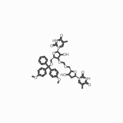 COc1ccc(C(OC[C@H]2O[C@@H](n3cc(C)c(=O)[nH]c3=O)C(O)C2OCOC[C@H]2O[C@@H](n3cc(C)c(=O)[nH]c3=O)CC2O)(c2ccccc2)c2ccc(OC)cc2)cc1